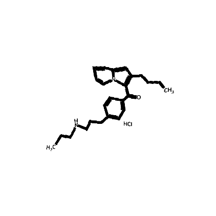 CCCCc1cc2ccccn2c1C(=O)c1ccc(CCCNCCC)cc1.Cl